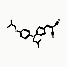 CC(C)COc1ccc(N(CC(C)C)c2ccc(C=C(C#N)C#N)cc2)cc1